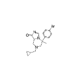 CC1(c2ccc(Br)cc2)CN(CC2CC2)CC2C(=O)N=CN21